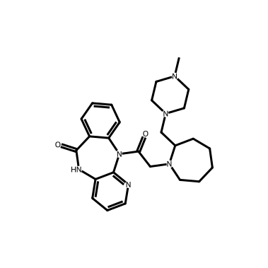 CN1CCN(CC2CCCCCN2CC(=O)N2c3ccccc3C(=O)Nc3cccnc32)CC1